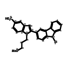 CCn1c2ccccc2c2cc(-c3nc4cc(C(=O)O)ccc4n3CCCOC)ccc21